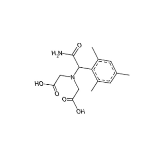 Cc1cc(C)c(C(C(N)=O)N(CC(=O)O)CC(=O)O)c(C)c1